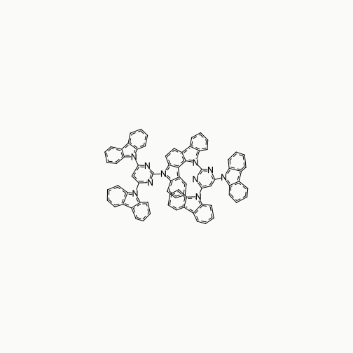 c1ccc2c(c1)c1ccccc1n2-c1cc(-n2c3ccccc3c3ccccc32)nc(-n2c3ccccc3c3c2ccc2c4ccccc4n(-c4nc(-n5c6ccccc6c6ccccc65)cc(-n5c6ccccc6c6ccccc65)n4)c23)n1